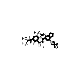 Cc1nc(N[C@H](C)c2cccc(C(F)(F)[C@H](C)O)c2F)c2cc(N3CC4(COC4)C3)c3c(c2n1)CCC3